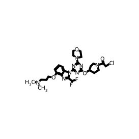 CN(C)CCCOc1cccc2c1nc(C(F)F)n2-c1nc(OC2CCN(C(=O)CCl)CC2)nc(N2CCOCC2)n1